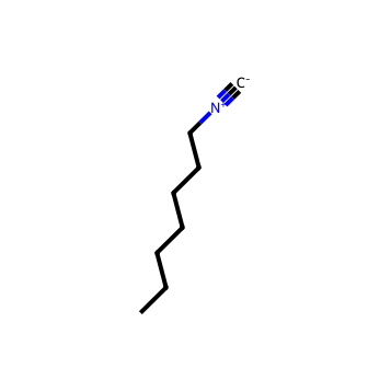 [C-]#[N+]CCCCCCC